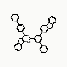 c1ccc(-c2ccc(C3=NC(c4cc(-c5ccccc5)cc(-c5ccc6c(c5)oc5ccccc56)c4)Nc4c3sc3ccccc43)cc2)cc1